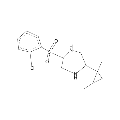 CC1CC1(C)C1CNC(S(=O)(=O)c2ccccc2Cl)CN1